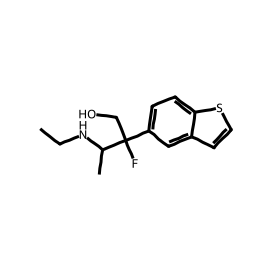 CCNC(C)C(F)(CO)c1ccc2sccc2c1